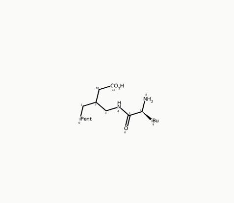 CCCC(C)CC(CNC(=O)[C@@H](N)C(C)CC)CC(=O)O